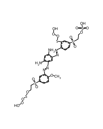 COc1ccc(S(=O)(=O)CCOSOOO)cc1/N=N/c1cc(/N=N/c2ccc(S(=O)(=O)CCOS(=O)(=O)O)cc2SOOO)c(N)cc1N